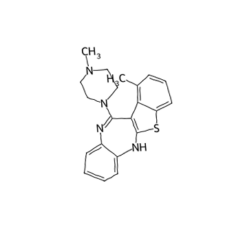 Cc1cccc2sc3c(c12)C(N1CCN(C)CC1)=Nc1ccccc1N3